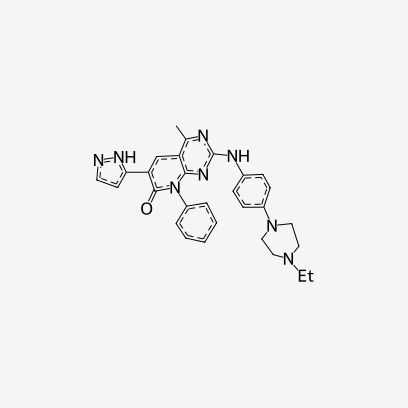 CCN1CCN(c2ccc(Nc3nc(C)c4cc(-c5ccn[nH]5)c(=O)n(-c5ccccc5)c4n3)cc2)CC1